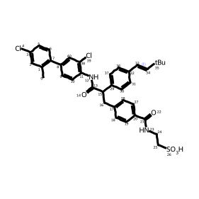 Cc1cc(Cl)ccc1-c1ccc(NC(=O)C(Cc2ccc(C(=O)NCCS(=O)(=O)O)cc2)c2ccc(/C=C/C(C)(C)C)cc2)c(Cl)c1